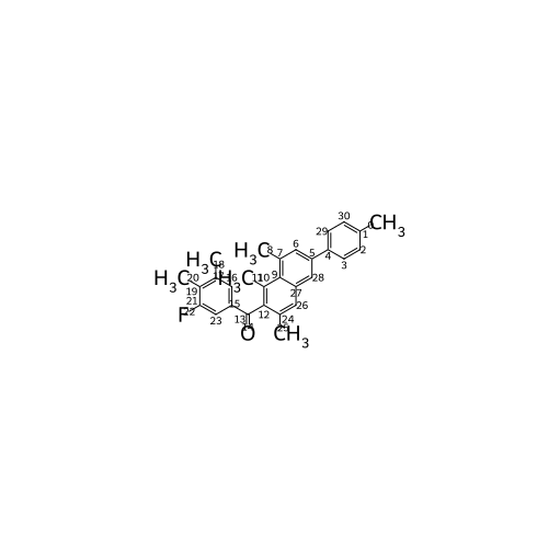 Cc1ccc(-c2cc(C)c3c(C)c(C(=O)c4cc(C)c(C)c(F)c4)c(C)cc3c2)cc1